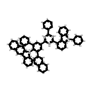 c1ccc(-c2nc(-c3cc(-c4ccccc4)c(-n4c5ccccc5c5cc6ccccc6cc54)c(-c4ccc5ccccc5c4)c3)nc(-c3cccc4c3c3ccccc3n4-c3ccccc3)n2)cc1